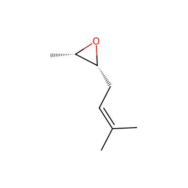 CC(C)=CC[C@H]1O[C@H]1C